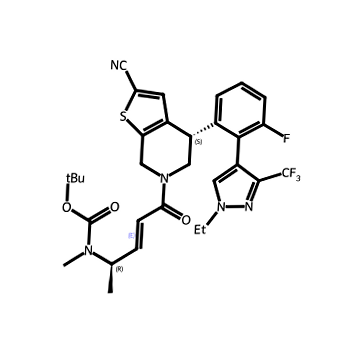 CCn1cc(-c2c(F)cccc2[C@@H]2CN(C(=O)/C=C/[C@@H](C)N(C)C(=O)OC(C)(C)C)Cc3sc(C#N)cc32)c(C(F)(F)F)n1